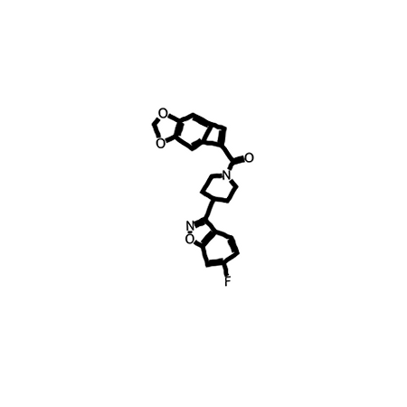 O=C(C1=Cc2cc3c(cc21)OCO3)N1CCC(c2noc3cc(F)ccc23)CC1